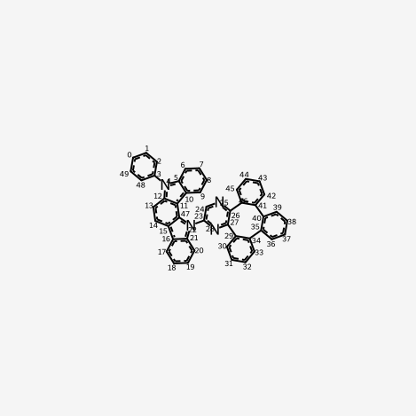 c1ccc(-n2c3ccccc3c3c2ccc2c4ccccc4n(-c4cnc5c(n4)-c4ccccc4-c4ccccc4-c4ccccc4-5)c23)cc1